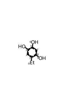 CCc1cc(O)c(O)cc1O